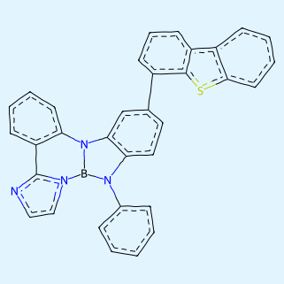 c1ccc(N2B3N(c4ccccc4-c4nccn43)c3cc(-c4cccc5c4sc4ccccc45)ccc32)cc1